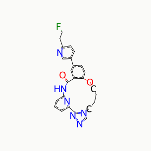 O=C1Nc2cccc(n2)-c2nncn2CCCCOc2ccc(-c3ccc(CCF)nc3)cc21